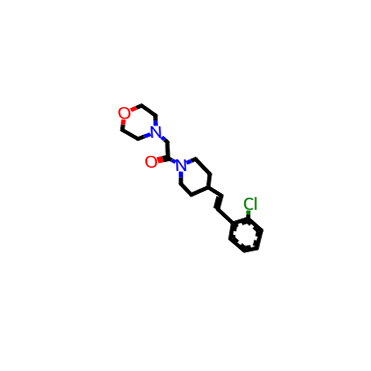 O=C(CN1CCOCC1)N1CCC(C=Cc2ccccc2Cl)CC1